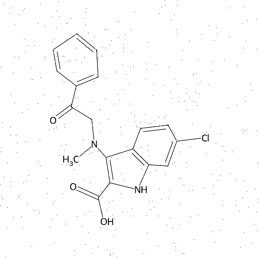 CN(CC(=O)c1ccccc1)c1c(C(=O)O)[nH]c2cc(Cl)ccc12